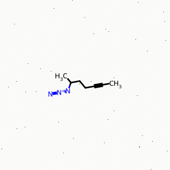 CC#CCCC(C)N=[N+]=[N-]